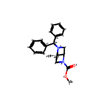 CC(C)(C)OC(=O)N1C[C@@H]2C1CN2C(c1ccccc1)c1ccccc1